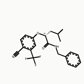 CC(C)C[C@@H](Oc1ccc(C#N)c(C(F)(F)F)c1)C(=O)NCc1ccccc1